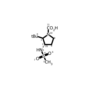 CC(C)(C)C1[C@@H](NS(C)(=O)=O)CCN1C(=O)O